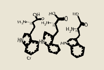 N[C@@H](Cc1c[nH]c2ccccc12)C(=O)O.N[C@@H](Cc1c[nH]c2ccccc12)C(=O)O.N[C@@H](Cc1c[nH]c2ccccc12)C(=O)O.[Cr]